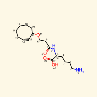 NCCCC[C@H](NC(=O)CCOC1C#CCCCCC1)C(=O)O